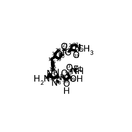 CCNC(=O)[C@H]1O[C@@H](n2cnc3c(N)nc(C#CCC4CCN(C(=O)OC5CCN(C)C5=O)CC4)nc32)C(O)[C@H]1O